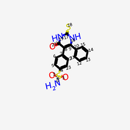 NS(=O)(=O)c1ccc(-c2c(-c3ccccc3)[nH]c(=S)[nH]c2=O)cc1